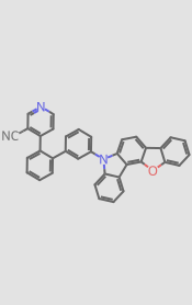 N#Cc1cnccc1-c1ccccc1-c1cccc(-n2c3ccccc3c3c4oc5ccccc5c4ccc32)c1